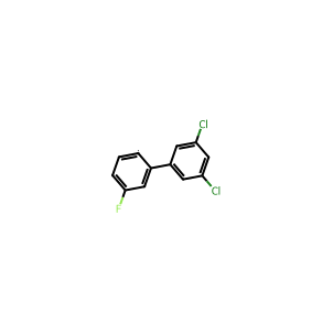 Fc1cc[c]c(-c2cc(Cl)cc(Cl)c2)c1